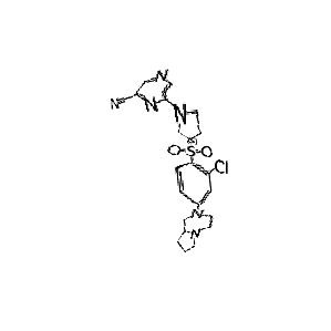 N#Cc1cncc(N2CC[C@H](S(=O)(=O)c3ccc(N4CCN5CCCC5C4)cc3Cl)C2)n1